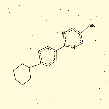 CCCCc1cnc(-c2ccc(C3CC[CH]CC3)cc2)nc1